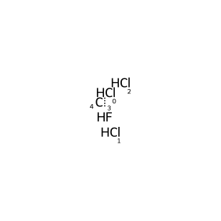 Cl.Cl.Cl.F.[C]